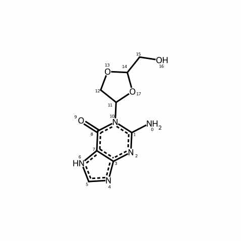 Nc1nc2nc[nH]c2c(=O)n1C1COC(CO)O1